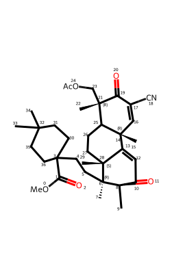 COC(=O)C1(CC[C@]2(C)C(C)C(=O)C=C3[C@@]4(C)C=C(C#N)C(=O)[C@@](C)(COC(C)=O)C4CC[C@]32C)CCC(C)(C)CC1